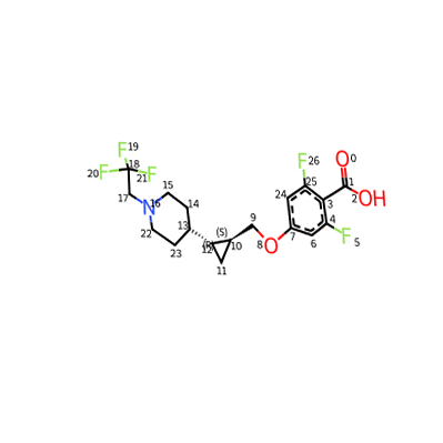 O=C(O)c1c(F)cc(OC[C@H]2C[C@@H]2C2CCN(CC(F)(F)F)CC2)cc1F